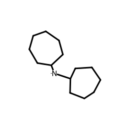 C1CCCC([N]C2CCCCCC2)CC1